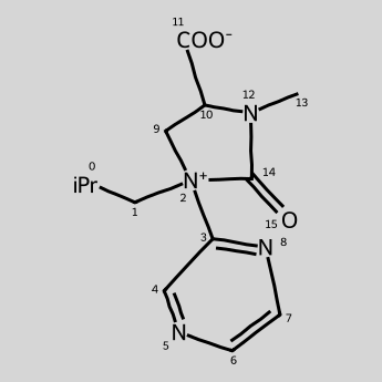 CC(C)C[N+]1(c2cnccn2)CC(C(=O)[O-])N(C)C1=O